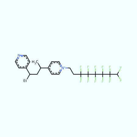 CCC(CC(C)c1cc[n+](CCC(F)(F)C(F)(F)C(F)(F)C(F)(F)C(F)(F)C(F)F)cc1)c1ccncc1